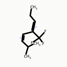 CC/C=C(\C=C/C(C)C)C(F)(F)F